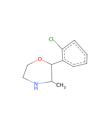 CC1NCCOC1c1ccccc1Cl